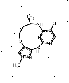 C[C@@H]1CCOc2cn(C)nc2Nc2ncc(Cl)c(n2)N1